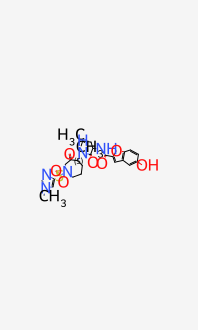 CC(C)CC(NC(=O)c1cc2cc(O)ccc2o1)C(=O)N[C@H]1CCCN(S(=O)(=O)c2cn(C)cn2)CC1=O